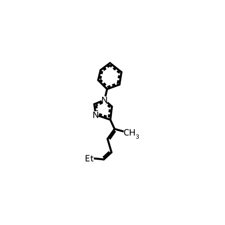 CC/C=C\C=C(/C)c1cn(-c2ccccc2)cn1